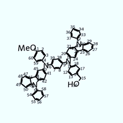 COc1ccc(N(c2ccc(N(c3ccc(CO)cc3)c3ccc4c(c3)c3ccccc3n4-c3ccccc3)cc2)c2ccc3c(c2)c2ccccc2n3-c2ccccc2)cc1